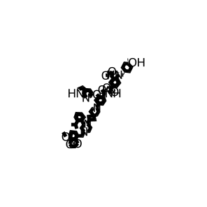 COc1ccc(CN2CCN(C3CC4(CCN(c5ccc(C(=O)NS(=O)(=O)c6ccc(NC[C@H]7CC[C@](C)(O)CC7)c([N+](=O)[O-])c6)c(Oc6cnc7[nH]ccc7c6)c5)CC4)C3)C(c3ccccc3C(C)C)C2)c2c1OCCO2